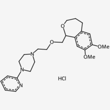 COc1cc2c(cc1OC)C(COCCN1CCN(c3ccccn3)CC1)OCCC2.Cl